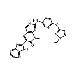 CCn1ccc(Oc2ccc(Nc3ncc4cc(-c5nc6cccnc6[nH]5)c(=O)n(C)c4n3)cn2)n1